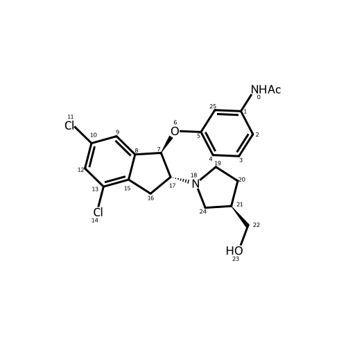 CC(=O)Nc1cccc(O[C@@H]2c3cc(Cl)cc(Cl)c3C[C@H]2N2CC[C@@H](CO)C2)c1